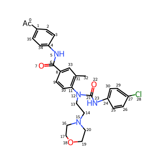 CC(=O)c1ccc(NC(=O)c2ccc(N(CCN3CCOCC3)C(=O)Nc3ccc(Cl)cc3)c(C)c2)cc1